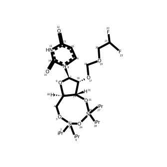 CC(C)[Si]1(C(C)C)OC[C@H]2O[C@@H](n3ccc(=O)[nH]c3=O)[C@H](OCOCC(F)F)[C@@H]2O[Si](C(C)C)(C(C)C)O1